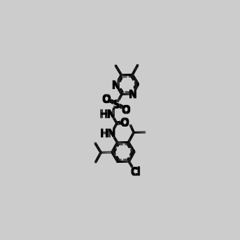 Cc1cnc(S(=O)(=O)NC(=O)Nc2c(C(C)C)cc(Cl)cc2C(C)C)nc1C